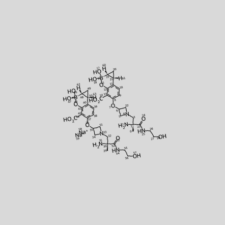 C[C@@](N)(CN1CC(Oc2ccc3c(c2C(=O)O)O[B-](O)(O)[C@@H]2C[C@H]32)C1)C(=O)NCCO.C[C@@](N)(CN1CC(Oc2ccc3c(c2C(=O)O)O[B-](O)(O)[C@@H]2C[C@H]32)C1)C(=O)NCCO.[Na+].[Na+]